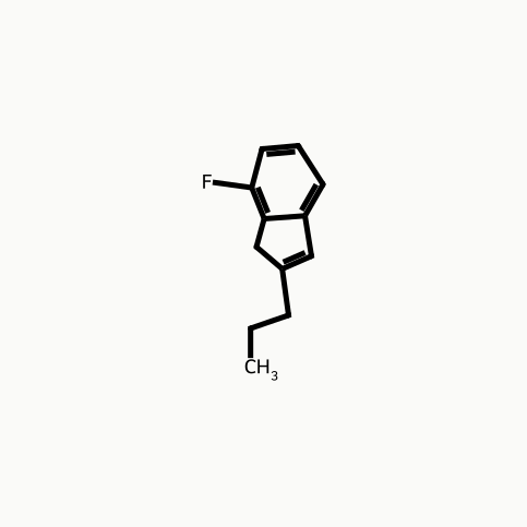 CCCC1=Cc2cccc(F)c2C1